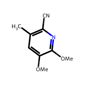 COc1cc(C)c(C#N)nc1OC